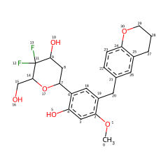 COc1cc(O)c(C2CC(O)C(F)(F)C(CO)O2)cc1Cc1ccc2c(c1)CCCO2